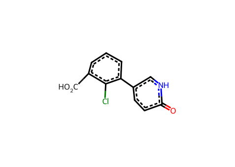 O=C(O)c1cccc(-c2ccc(=O)[nH]c2)c1Cl